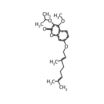 COc1c(OC(C)C)c(=O)oc2cc(OC/C=C(\C)CCC=C(C)C)ccc12